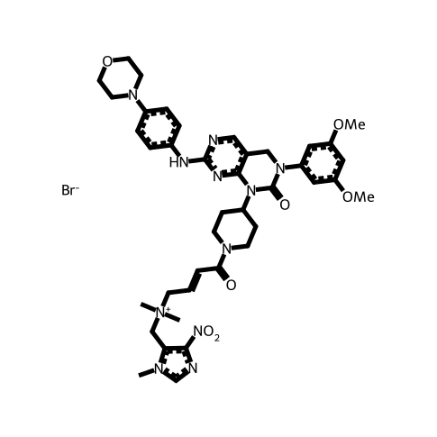 COc1cc(OC)cc(N2Cc3cnc(Nc4ccc(N5CCOCC5)cc4)nc3N(C3CCN(C(=O)/C=C/C[N+](C)(C)Cc4c([N+](=O)[O-])ncn4C)CC3)C2=O)c1.[Br-]